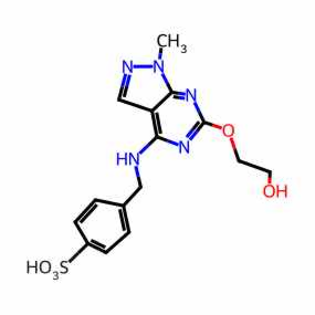 Cn1ncc2c(NCc3ccc(S(=O)(=O)O)cc3)nc(OCCO)nc21